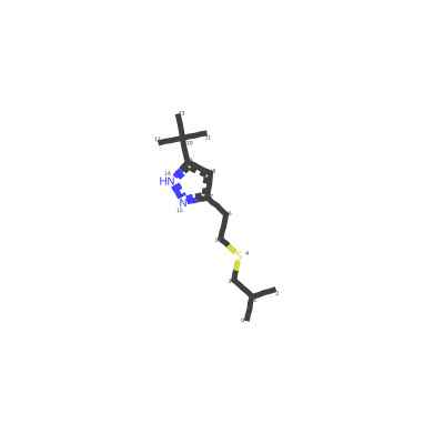 CC(C)CSCCc1cc(C(C)(C)C)[nH]n1